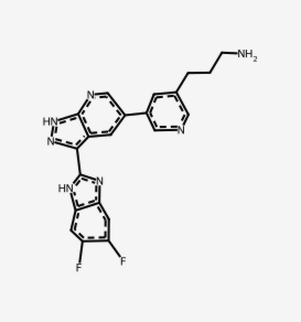 NCCCc1cncc(-c2cnc3[nH]nc(-c4nc5cc(F)c(F)cc5[nH]4)c3c2)c1